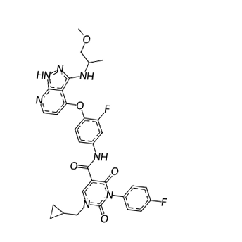 COCC(C)Nc1n[nH]c2nccc(Oc3ccc(NC(=O)c4cn(CC5CC5)c(=O)n(-c5ccc(F)cc5)c4=O)cc3F)c12